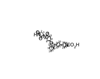 O=C1CCC(N2Cc3cc(OC[C@H]4CCCCN4Cc4ccc(C5CCN(C(=O)O)CC5)cc4)ccc3C2=O)C(=O)N1